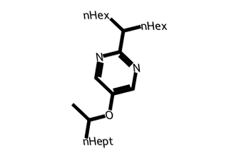 CCCCCCCC(C)Oc1cnc(C(CCCCCC)CCCCCC)nc1